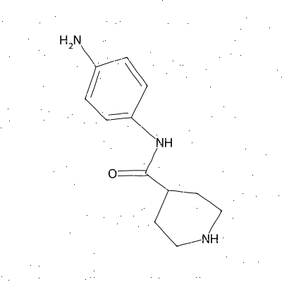 Nc1ccc(NC(=O)C2CCNCC2)cc1